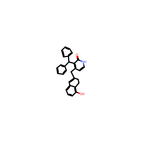 O=c1[nH]ccc(CC2=Cc3cccc(O)c3CC2)c1C(c1ccccc1)c1ccccc1